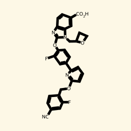 N#Cc1ccc(COc2cccc(-c3ccc(Oc4nc5ccc(C(=O)O)cc5n4CC4CCO4)c(F)c3)n2)c(F)c1